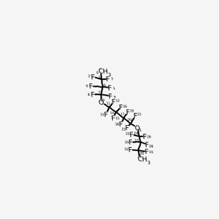 CC(F)(F)C(F)(F)C(F)(F)OC(F)(F)C(F)(F)C(F)(F)C(F)(F)OC(F)(F)C(F)(F)C(C)(F)F